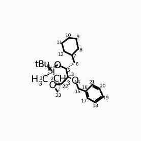 CC(C)(C)[Si](C)(C)O[C@H](CC1CCCCC1)[C@H](OCc1ccccc1)[C@@H]1CO1